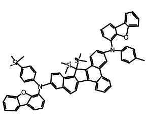 Cc1ccc(N(c2ccc3c4c(c5ccccc5c3c2)-c2ccc3cc(N(c5ccc([Si](C)(C)C)cc5)c5cccc6c5oc5ccccc56)ccc3c2C4([Si](C)(C)C)[Si](C)(C)C)c2cccc3c2oc2ccccc23)cc1